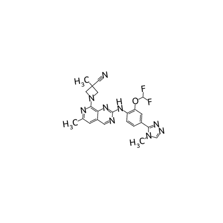 Cc1cc2cnc(Nc3ccc(-c4nncn4C)cc3OC(F)F)nc2c(N2CC(C)(C#N)C2)n1